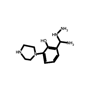 NNC(N)c1cccc(N2CCNCC2)c1O